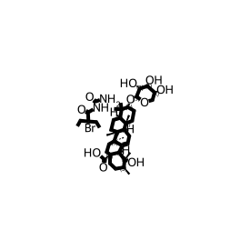 CCC(Br)(CC)C(=O)NC(N)=O.C[C@H]1CC[C@]2(C(=O)O)CC[C@]3(C)C(=CC[C@@H]4[C@@]5(C)CC[C@H](O[C@@H]6OC[C@@H](O)[C@H](O)[C@H]6O)C(C)(C)[C@@H]5CC[C@]43C)[C@@H]2[C@]1(C)O